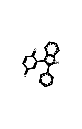 O=C1C=CC(=O)C(c2c(-c3ccccc3)[nH]c3ccccc23)=C1